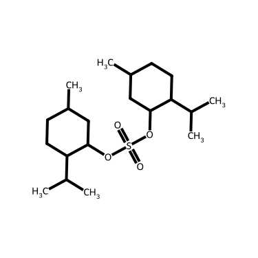 CC1CCC(C(C)C)C(OS(=O)(=O)OC2CC(C)CCC2C(C)C)C1